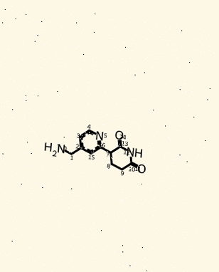 NCc1ccnc(C2CCC(=O)NC2=O)c1